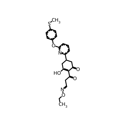 CCON=CCC(=O)C1=C(O)CC(c2cccc(Oc3ccc(SC)cc3)n2)CC1=O